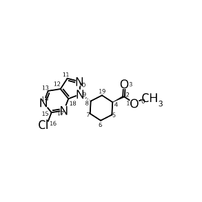 COC(=O)[C@H]1CCC[C@H](n2ncc3cnc(Cl)nc32)C1